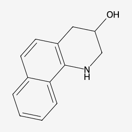 OC1CNc2c(ccc3ccccc23)C1